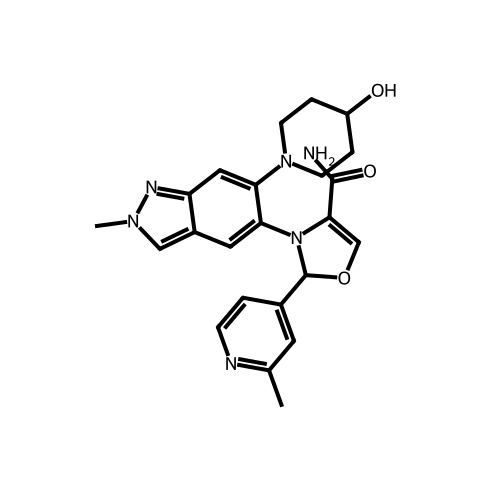 Cc1cc(C2OC=C(C(N)=O)N2c2cc3cn(C)nc3cc2N2CCC(O)CC2)ccn1